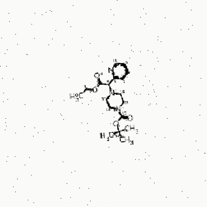 CCOC(=O)C(c1ccccn1)N1CCN(C(=O)OC(C)(C)C)CC1